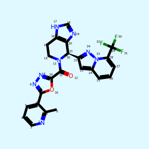 Cc1ncccc1-c1nnc(C(=O)N2CCc3[nH]cnc3[C@H]2c2cc3cccc(C(F)(F)F)n3n2)o1